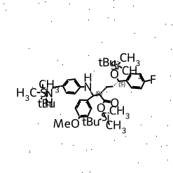 COc1ccc(C(Nc2ccc(CN[Si](C)(C)C(C)(C)C)cc2)[C@@H](CC[C@H](O[Si](C)(C)C(C)(C)C)c2ccc(F)cc2)C(=O)O[Si](C)(C)C(C)(C)C)cc1